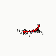 COc1cc(C(=O)Oc2ccc(/C=C/C(=O)OCCCCCCOC(=O)c3cc(N)cc(N)c3)cc2)ccc1OCCCCCC(F)(F)F